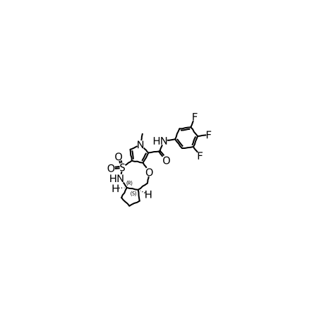 Cn1cc2c(c1C(=O)Nc1cc(F)c(F)c(F)c1)OC[C@H]1CCC[C@H]1NS2(=O)=O